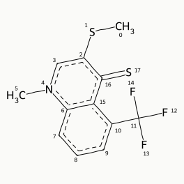 CSc1cn(C)c2cccc(C(F)(F)F)c2c1=S